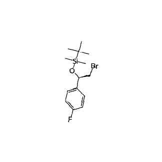 CC(C)(C)[Si](C)(C)O[C@@H](CBr)c1ccc(F)cc1